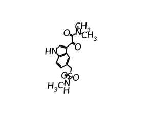 CNS(=O)(=O)Cc1ccc2[nH]cc(C(=O)C(=O)N(C)C)c2c1